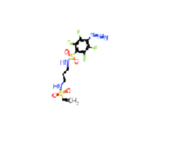 C=CS(=O)(=O)NCCCNS(=O)(=O)c1c(F)c(F)c(N=[N+]=[N-])c(F)c1F